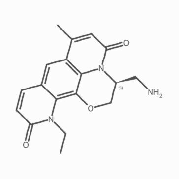 CCn1c(=O)ccc2cc3c(C)cc(=O)n4c3c(c21)OC[C@@H]4CN